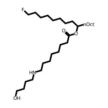 CCCCCCCCC(CCCCCCCCF)OC(=O)CCCCCCCNCCCCO